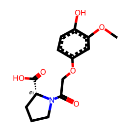 COc1cc(OCC(=O)N2CCC[C@@H]2C(=O)O)ccc1O